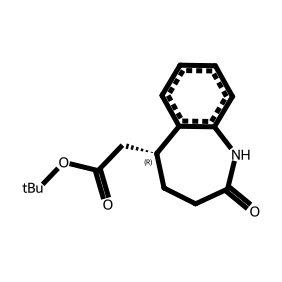 CC(C)(C)OC(=O)C[C@H]1CCC(=O)Nc2ccccc21